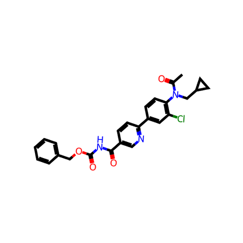 CC(=O)N(CC1CC1)c1ccc(-c2ccc(C(=O)NC(=O)OCc3ccccc3)cn2)cc1Cl